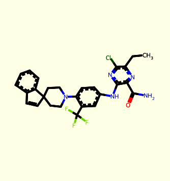 CCc1nc(C(N)=O)c(Nc2ccc(N3CCC4(C=Cc5ccccc54)CC3)c(C(F)(F)F)c2)nc1Cl